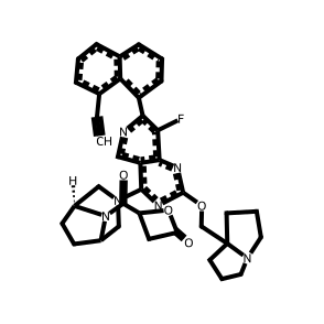 C#Cc1cccc2cccc(-c3ncc4c(N5CC6CC[C@@H](C5)N6C(=O)C5CC(=O)O5)nc(OCC56CCCN5CCC6)nc4c3F)c12